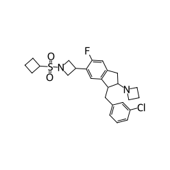 O=S(=O)(C1CCC1)N1CC(c2cc3c(cc2F)CC(N2CCC2)C3Cc2cccc(Cl)c2)C1